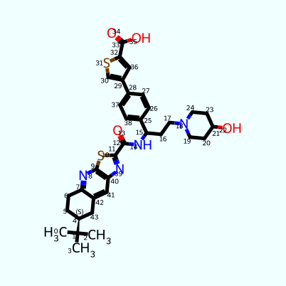 CC(C)(C)[C@H]1CCc2nc3sc(C(=O)NC(CCN4CCC(O)CC4)c4ccc(-c5csc(C(=O)O)c5)cc4)nc3cc2C1